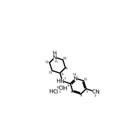 Cl.Cl.N#Cc1ccc(NC2CCNCC2)nc1